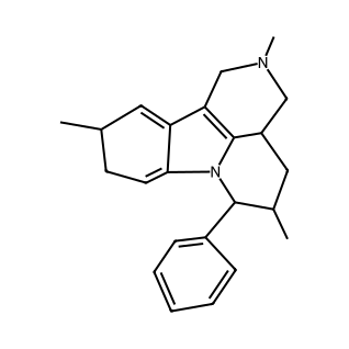 CC1C=c2c3c4n(c2=CC1)C(c1ccccc1)C(C)CC4CN(C)C3